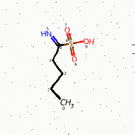 CCCCC(=N)S(=O)(=O)O